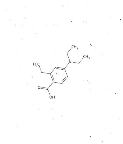 CCc1cc(N(CC)CC)ccc1C(=O)O